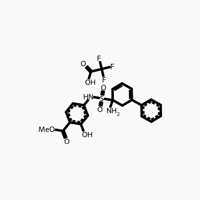 COC(=O)c1ccc(NS(=O)(=O)C2(N)C=CC=C(c3ccccc3)C2)cc1O.O=C(O)C(F)(F)F